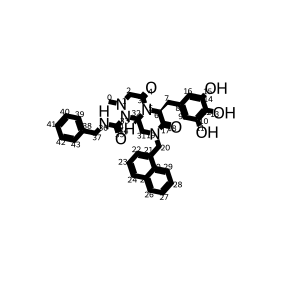 CN1CC(=O)N2[C@@H](Cc3cc(O)c(O)c(O)c3)C(=O)N(Cc3cccc4ccccc34)C[C@@H]2N1C(=O)NCc1ccccc1